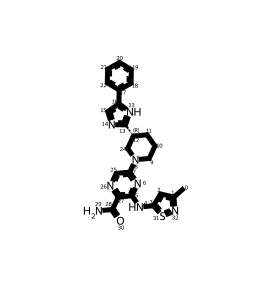 Cc1cc(Nc2nc(N3CCC[C@@H](c4ncc(-c5ccccc5)[nH]4)C3)cnc2C(N)=O)sn1